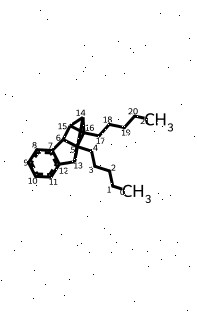 CCCCCC12C3c4ccccc4C1C1C3C12CCCCC